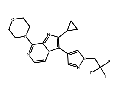 FC(F)(F)Cn1cc(-c2c(C3CC3)nc3c(N4CCOCC4)nccn23)cn1